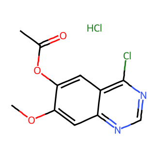 COc1cc2ncnc(Cl)c2cc1OC(C)=O.Cl